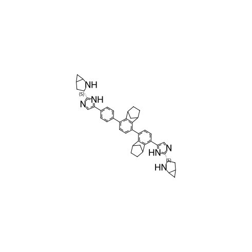 c1cc(-c2ccc(-c3ccc(-c4cnc([C@@H]5CC6CC6N5)[nH]4)c4c3C3CCC4C3)c3c2C2CCC3C2)ccc1-c1cnc([C@@H]2CC3CC3N2)[nH]1